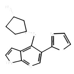 O[C@H]1CC[C@@H](Nc2c(-c3ncco3)cnc3[nH]ccc23)C1